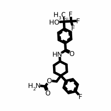 C[C@](O)(c1ccc(C(=O)NC2CCC(COC(N)=O)(c3ccc(F)cc3)CC2)cc1)C(F)(F)F